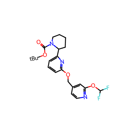 CC(C)(C)OC(=O)N1CCCCC1c1cccc(OCc2ccnc(OC(F)F)c2)n1